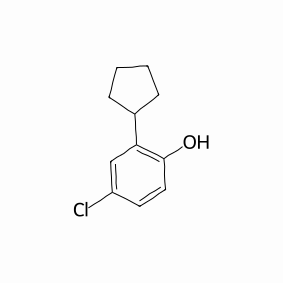 Oc1ccc(Cl)cc1C1CCCC1